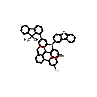 CC(C)(C)c1cc(-c2cccc3c2=C(c2ccccc2N(c2cccc(-c4cccc5c4C(C)(C)c4ccccc4-5)c2)c2ccc4oc5ccccc5c4c2)CCC=3)cc(C(C)(C)C)c1